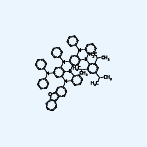 CC(C)c1cc(C(C)C)c(B2c3ccccc3N(c3ccccc3)c3cc4c(cc32)B2c3ccccc3N(c3ccc5c(c3)oc3ccccc35)c3cc(N(c5ccccc5)c5ccccc5)cc(c32)N4c2ccccc2)c(C(C)C)c1